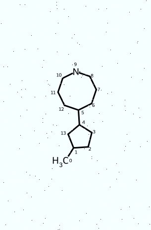 CC1CCC(C2CCC[N]CCC2)C1